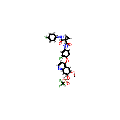 COc1cc2c(Oc3ccc(NC(=O)C4(C(=O)Nc5ccc(F)cc5)CC4)cc3F)ccnc2cc1OS(=O)(=O)C(F)(F)F